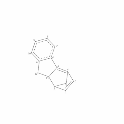 C1=CC2CC1=C1c3ccccc3CC12